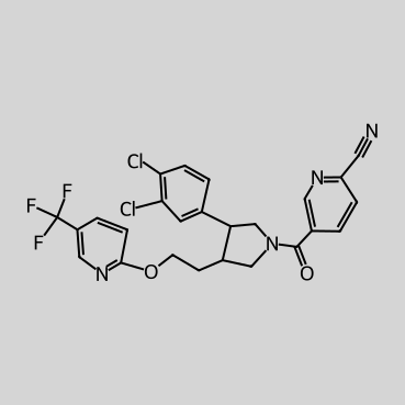 N#Cc1ccc(C(=O)N2CC(CCOc3ccc(C(F)(F)F)cn3)C(c3ccc(Cl)c(Cl)c3)C2)cn1